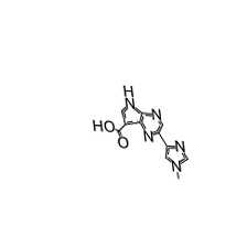 Cn1cnc(-c2cnc3[nH]cc(C(=O)O)c3n2)c1